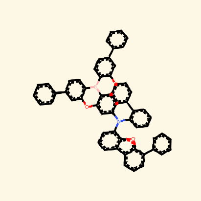 c1ccc(-c2ccc3c(c2)Oc2cc(N(c4ccccc4-c4ccccc4)c4cccc5c4oc4c(-c6ccccc6)cccc45)cc4c2B3c2ccc(-c3ccccc3)cc2O4)cc1